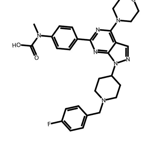 CN(C(=O)O)c1ccc(-c2nc(N3CCOCC3)c3cnn(C4CCN(Cc5ccc(F)cc5)CC4)c3n2)cc1